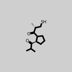 CC(C)C(=O)[C@@H]1CCCC1C(=O)[C@H](C)CS